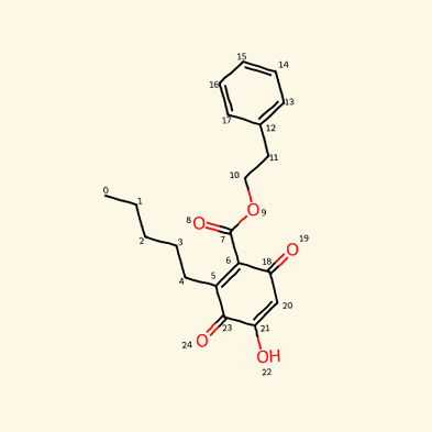 CCCCCC1=C(C(=O)OCCc2ccccc2)C(=O)C=C(O)C1=O